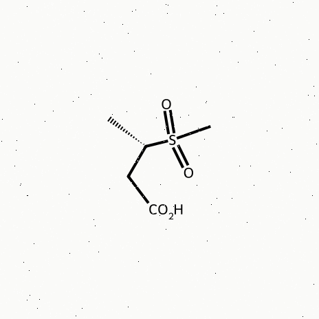 C[C@@H](CC(=O)O)S(C)(=O)=O